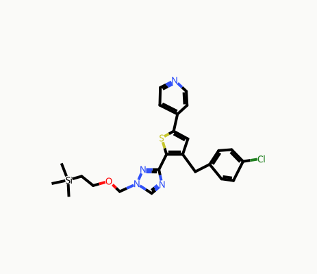 C[Si](C)(C)CCOCn1cnc(-c2sc(-c3ccncc3)cc2Cc2ccc(Cl)cc2)n1